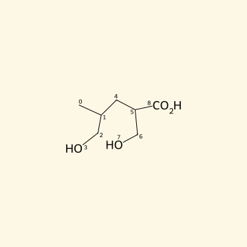 CC(CO)CC(CO)C(=O)O